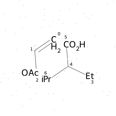 C=COC(C)=O.CCC(C(=O)O)C(C)C